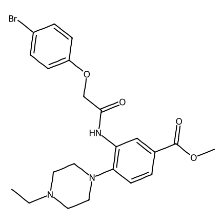 CCN1CCN(c2ccc(C(=O)OC)cc2NC(=O)COc2ccc(Br)cc2)CC1